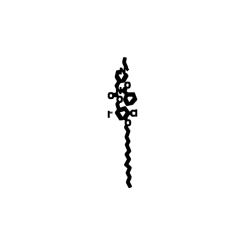 CCCCCCCCCCCCCCOc1ccc(COC(=O)N(Cc2cc[n+](CCC)cc2)C(=O)c2ccccc2)cc1Cl.[I-]